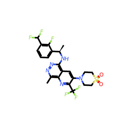 Cc1nnc(N[C@H](C)c2cccc(C(F)F)c2F)c2cc(N3CCS(=O)(=O)CC3)c(C(F)(F)F)nc12